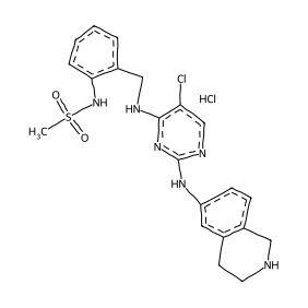 CS(=O)(=O)Nc1ccccc1CNc1nc(Nc2ccc3c(c2)CCNC3)ncc1Cl.Cl